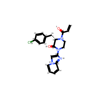 C=CC(=O)N1CCN(c2cn3ccccc3n2)C(=O)[C@@H]1Cc1ccc(Cl)cc1